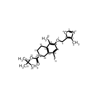 Cc1ncoc1COc1cc(F)c2c(c1C)CCN(C(=O)OC(C)(C)C)C2